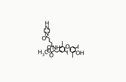 COC(=O)C(Cc1cc(I)c(Oc2cc(I)c(O)c(I)c2)c(I)c1)NC(=O)CCCC(=O)N1CCNCC1